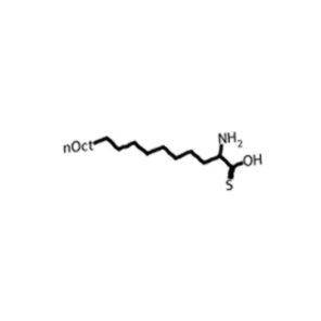 CCCCCCCCCCCCCCCCC(N)C(O)=S